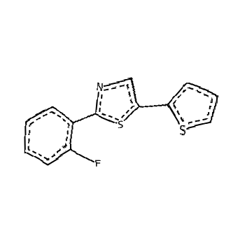 Fc1ccccc1-c1ncc(-c2cccs2)s1